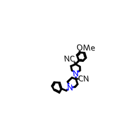 COc1cccc(C2(C#N)CCN(C3(C#N)CCN(Cc4ccccc4)CC3)CC2)c1